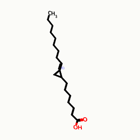 CCCCCCCC/C=C1\CC1CCCCCCC(=O)O